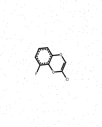 Fc1cccc2c1OC(Cl)=[C]O2